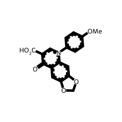 COc1ccc(-n2cc(C(=O)O)c(=O)c3cc4c(cc32)OCO4)cc1